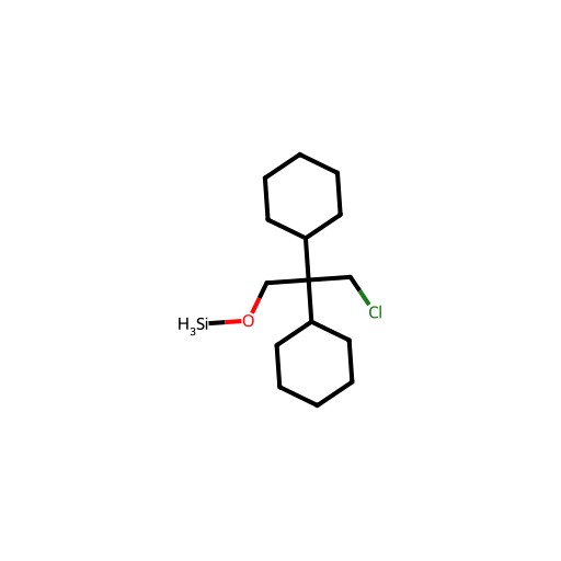 [SiH3]OCC(CCl)(C1CCCCC1)C1CCCCC1